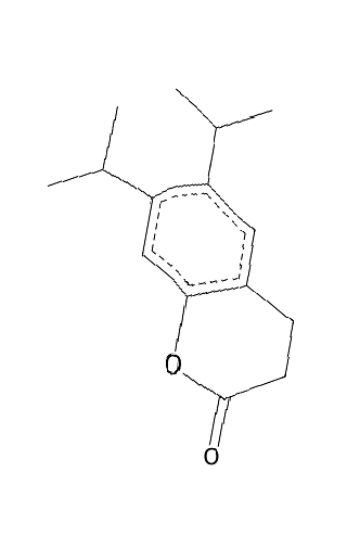 CC(C)c1cc2c(cc1C(C)C)OC(=O)CC2